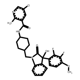 COc1ccc(C2(O)C(=O)N(CC3CCC(NC(=O)c4cc(Cl)cnc4C)CC3)c3ccccc32)c(F)c1F